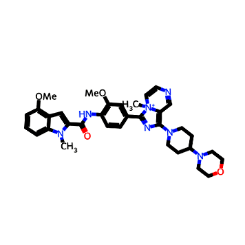 COc1cc(C2=NC(N3CCC(N4CCOCC4)CC3)=C3C=NC=C[N+]23C)ccc1NC(=O)c1cc2c(OC)cccc2n1C